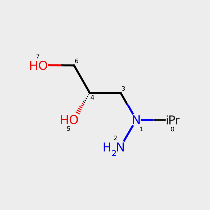 CC(C)N(N)C[C@H](O)CO